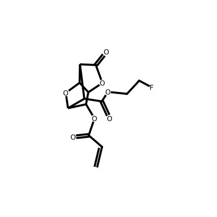 C=CC(=O)OC1C2OC(=O)C3C2OC1C3C(=O)OCCF